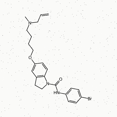 C=CCN(C)CCCCOc1ccc2c(c1)CCN2C(=O)Nc1ccc(Br)cc1